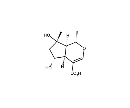 C[C@@H]1OC=C(C(=O)O)[C@@H]2[C@H]1[C@@](C)(O)C[C@H]2O